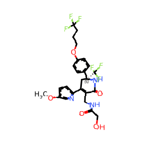 COc1ccc(C2=C(CNC(=O)CO)C(=O)N[C@@](c3ccc(OCCCC(F)(F)F)cc3)(C(F)(F)F)C2)nc1